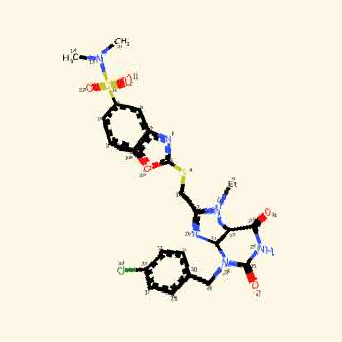 CCN1C(CSc2nc3cc(S(=O)(=O)N(C)C)ccc3o2)=NC2C1C(=O)NC(=O)N2Cc1ccc(Cl)cc1